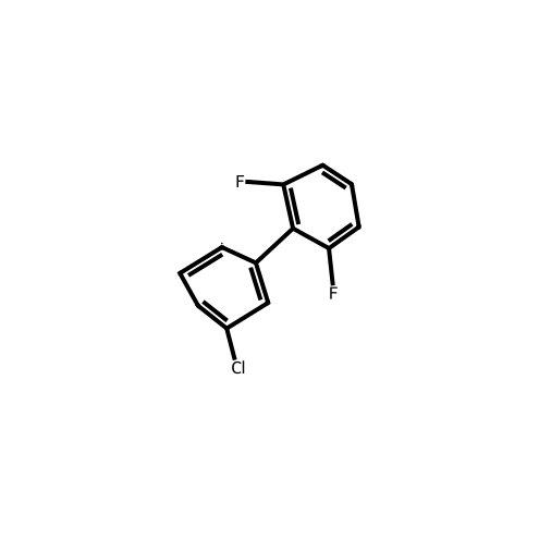 Fc1cccc(F)c1-c1[c]ccc(Cl)c1